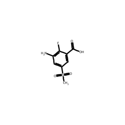 CS(=O)(=O)c1cc(N)c(F)c(C(=O)O)c1